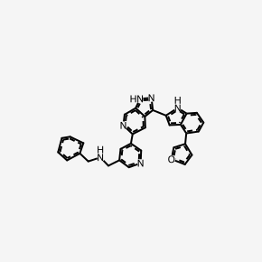 c1ccc(CNCc2cncc(-c3cc4c(-c5cc6c(-c7ccoc7)cccc6[nH]5)n[nH]c4cn3)c2)cc1